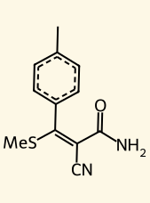 CSC(=C(C#N)C(N)=O)c1ccc(C)cc1